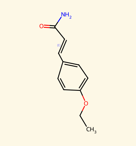 CCOc1ccc(/C=C/C(N)=O)cc1